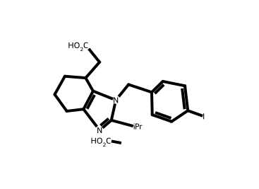 CC(=O)O.CC(C)c1nc2c(n1Cc1ccc(I)cc1)C(CC(=O)O)CCC2